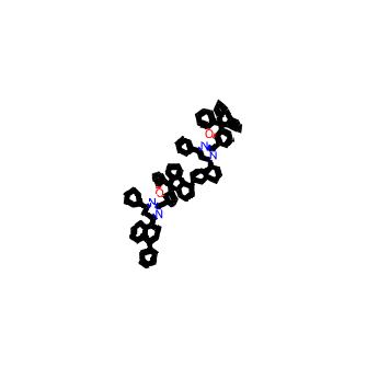 c1ccc(-c2cc(-c3cccc4cc(-c5cccc6c5-c5ccccc5C65c6ccccc6Oc6c(-c7nc(-c8ccccc8)cc(-c8ccc(-c9ccccc9)c9ccccc89)n7)cccc65)ccc34)nc(-c3cccc4c3Oc3ccccc3C43c4ccccc4-c4ccccc43)n2)cc1